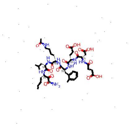 CCCC[C@H](NC(=O)[C@H](CC(C)C)NC(=O)[C@H](CCCCNC(C)=O)NC(=O)[C@H](Cc1ccccc1C)NC(=O)[C@H](CCC(=O)O)NC(=O)[C@H](CC(=O)O)NC(=O)CCC(=O)O)C(=O)C(N)=O